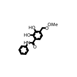 COOCc1ccc(C(=O)Nc2ccccc2)c(O)c1O